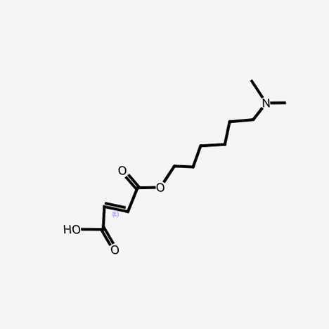 CN(C)CCCCCCOC(=O)/C=C/C(=O)O